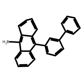 Bc1c2ccccc2c(-c2cccc(-c3ccccc3)c2)c2ccccc12